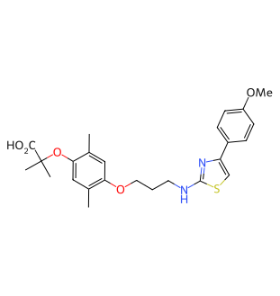 COc1ccc(-c2csc(NCCCOc3cc(C)c(OC(C)(C)C(=O)O)cc3C)n2)cc1